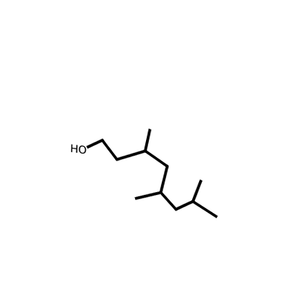 CC(C)CC(C)CC(C)CCO